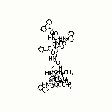 CN[C@@H](C)C(=O)N[C@H](C(=O)N1C[C@@H](NC(=O)CCCC(=O)NCCC[C@H](NC(=O)OCc2ccccc2)C(=O)N2C[C@@H](NC(=O)OCC3c4ccccc4-c4ccccc43)C[C@H]2C(=O)N[C@@H]2CCCc3ccccc32)C[C@H]1C(=O)NC1CCCc2ccccc21)C(C)(C)C